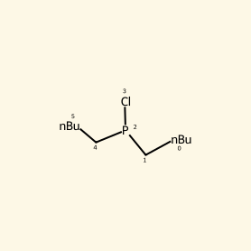 CCCCCP(Cl)CCCCC